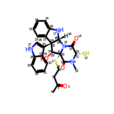 CC(=O)CCS[C@@]12C(=O)N(C)[C@@H](S)C(=O)N1[C@H]1Nc3ccccc3[C@@]1(c1c[nH]c3ccccc13)[C@@H]2O